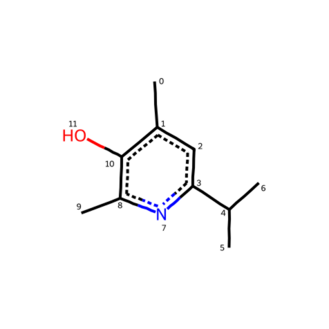 Cc1cc(C(C)C)nc(C)c1O